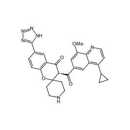 COc1cc(C(=O)[C@@H]2C(=O)c3cc(-c4nnn[nH]4)ccc3OC23CCNCC3)cc2c(C3CC3)ccnc12